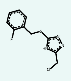 Fc1ccccc1CSc1nnc(CCl)[nH]1